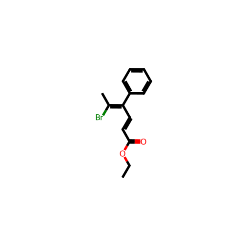 CCOC(=O)/C=C/C(=C(/C)Br)c1ccccc1